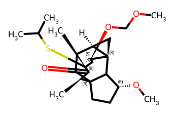 COCO[C@@H]1C[C@@](C)(SC(C)C)C(=O)[C@H](C)C23CC[C@H]4C[C@]41C2[C@H](OC)CC3